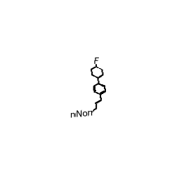 CCCCCCCCCCC=Cc1ccc(C2CCC(F)CC2)cc1